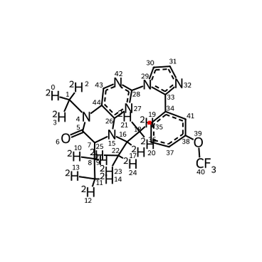 [2H]C([2H])([2H])N1C(=O)C(C([2H])([2H])C([2H])([2H])[2H])N(C([2H])(C([2H])([2H])[2H])C([2H])([2H])[2H])c2nc(-n3ccnc3-c3cccc(OC(F)(F)F)c3)ncc21